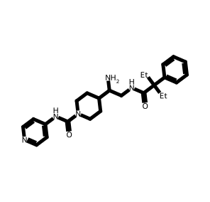 CCC(CC)(C(=O)NCC(N)C1CCN(C(=O)Nc2ccncc2)CC1)c1ccccc1